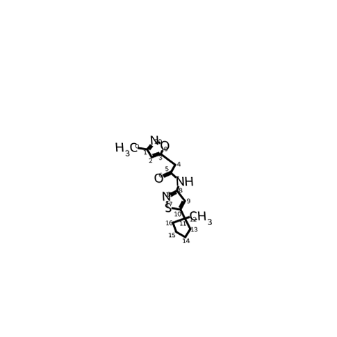 Cc1cc(CC(=O)Nc2cc(C3(C)CCCC3)sn2)on1